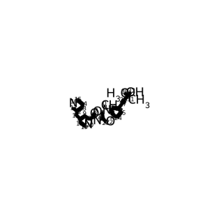 CN1C(=O)C(NC(=O)c2cc(Cc3cccnc3)ccn2)COc2ccc(C#CC(C)(C)O)cc21